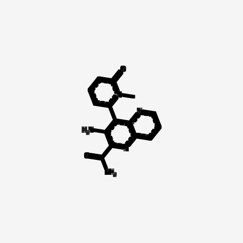 Cn1c(-c2c(N)c(C(N)=O)nc3cccnc23)cccc1=O